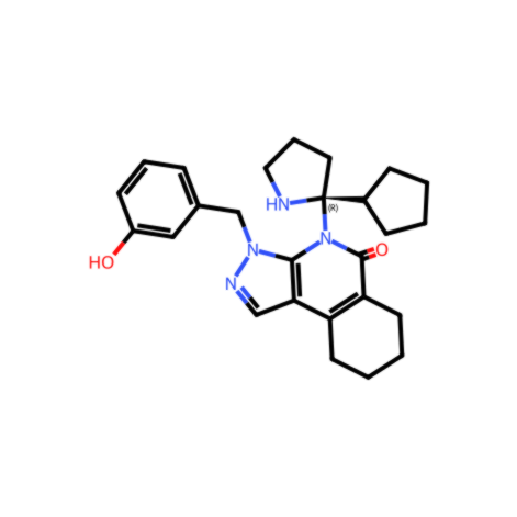 O=c1c2c(c3cnn(Cc4cccc(O)c4)c3n1[C@@]1(C3CCCC3)CCCN1)CCCC2